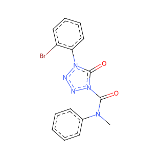 CN(C(=O)n1nnn(-c2ccccc2Br)c1=O)c1ccccc1